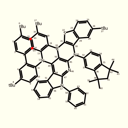 CC(C)(C)c1ccc(-c2cc(C(C)(C)C)ccc2N2c3ccc(C(C)(C)C)cc3B3c4sc5ccc(C(C)(C)C)cc5c4N(c4ccc5c(c4)C(C)(C)CC5(C)C)c4nc5c(c2c43)c2ccccc2n5-c2ccccc2)cc1